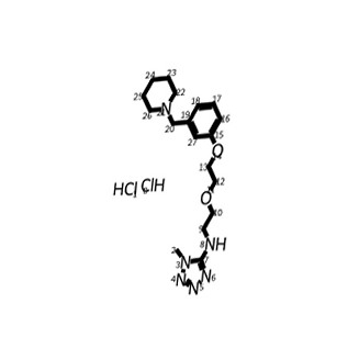 Cl.Cl.Cn1nnnc1NCCOCCOc1cccc(CN2CCCCC2)c1